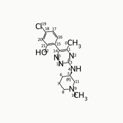 Cc1nc(N[C@@H]2CCCN(C)C2)nnc1-c1ccc(Cl)cc1O